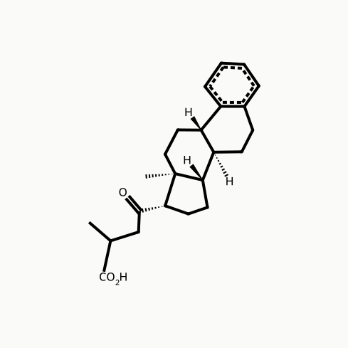 CC(CC(=O)[C@H]1CC[C@H]2[C@@H]3CCc4ccccc4[C@H]3CC[C@]12C)C(=O)O